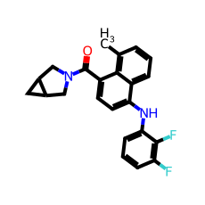 Cc1cccc2c(Nc3cccc(F)c3F)ccc(C(=O)N3CC4CC4C3)c12